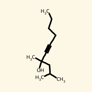 CCCCC#CC(C)(O)CC(C)C